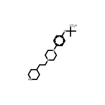 CC(C)(Oc1ccc(N2CCN(CCC3CCNCC3)CC2)cc1)C(=O)O